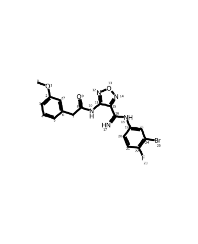 COc1cccc(CC(=O)Nc2nonc2C(=N)Nc2ccc(F)c(Br)c2)c1